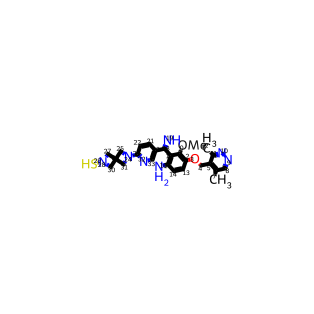 COc1c(OCc2c(C)cnnc2C)ccc(N)c1C(=N)c1ccc(N2CC3(CN(S)C3)C2)nc1